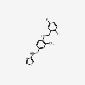 Fc1ccc(F)c(CNc2ccc(SNc3cscn3)cc2C(F)(F)F)c1